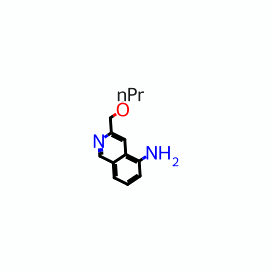 CCCOCc1cc2c(N)cccc2cn1